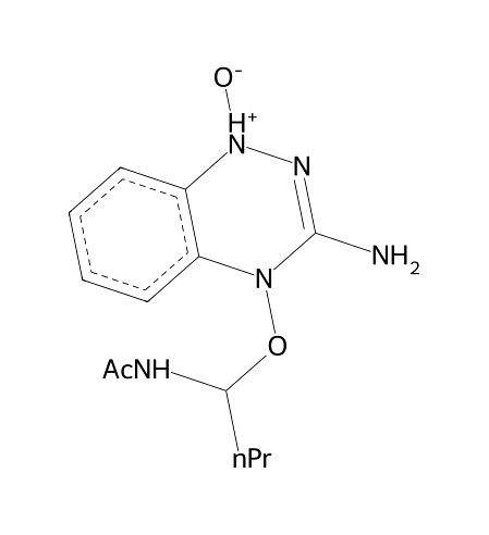 CCCC(NC(C)=O)ON1C(N)=N[NH+]([O-])c2ccccc21